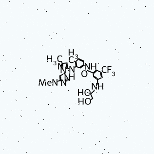 CNc1cc(-n2nc(C)cc2Nc2cc(NC(=O)c3cc(CNC[C@@H](O)CO)cc(C(F)(F)F)c3)ccc2C)ncn1